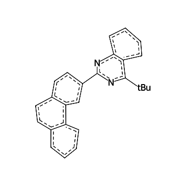 CC(C)(C)c1nc(-c2ccc3ccc4ccccc4c3c2)nc2ccccc12